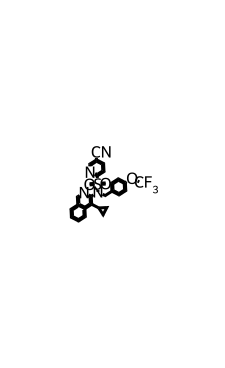 N#Cc1ccc(S(=O)(=O)N(Cc2ccc(OC(F)(F)F)cc2)c2ncc3ccccc3c2C2CC2)nc1